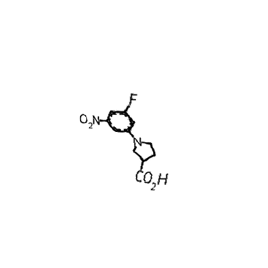 O=C(O)C1CCN(c2cc(F)cc([N+](=O)[O-])c2)C1